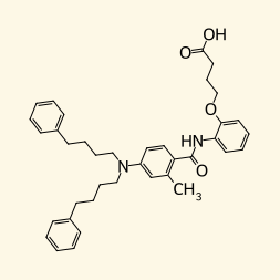 Cc1cc(N(CCCCc2ccccc2)CCCCc2ccccc2)ccc1C(=O)Nc1ccccc1OCCCC(=O)O